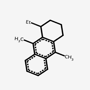 [CH2]CC1CCCc2c1c(C)c1ccccc1c2C